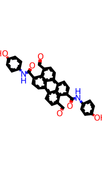 O=Cc1ccc2c3ccc(C(=O)Nc4ccc(O)cc4)c4c(C=O)ccc(c5ccc(C(=O)Nc6ccc(O)cc6)c1c25)c43